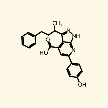 C[C@H](CCc1ccccc1)c1n[nH]c2nc(-c3ccc(O)cc3)cc(C(=O)O)c12